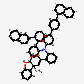 CC12C=C(c3ccccc3N(c3ccc(-c4ccc(-c5cccc6ccccc56)cc4)cc3)c3ccccc3-c3ccccc3-c3ccc4ccccc4c3)C=CC1Oc1ccccc12